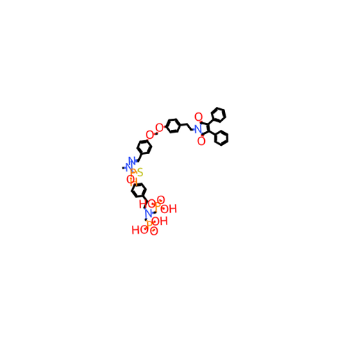 CN(/N=C/c1ccc(OCOc2ccc(CCN3C(=O)C(c4ccccc4)=C(c4ccccc4)C3=O)cc2)cc1)[PH](=S)Oc1ccc(CCN(CP(=O)(O)O)CP(=O)(O)O)cc1